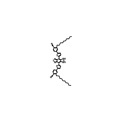 CCCCCCCCCCc1cc(-c2ccc(-c3c4c(c(-c5ccc(-c6ccc(C#N)c(CCCCCCCCCC)c6)s5)c5nsnc35)NSN4)s2)ccc1C#N